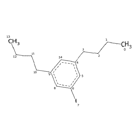 CCCCc1cc(I)cc(CCCC)c1